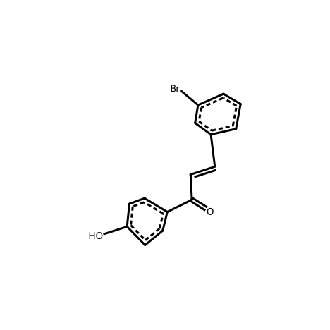 O=C(/C=C/c1cccc(Br)c1)c1ccc(O)cc1